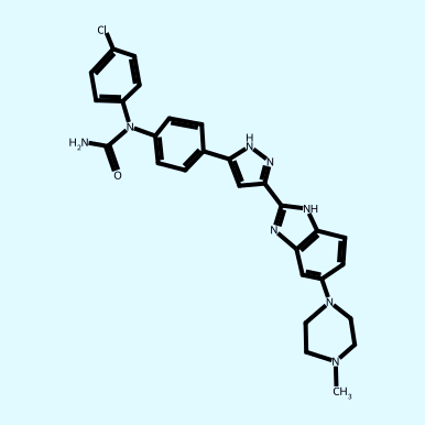 CN1CCN(c2ccc3[nH]c(-c4cc(-c5ccc(N(C(N)=O)c6ccc(Cl)cc6)cc5)[nH]n4)nc3c2)CC1